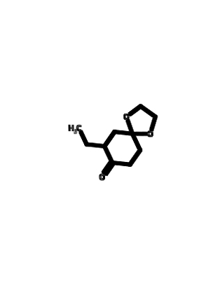 CCC1CC2(CCC1=O)OCCO2